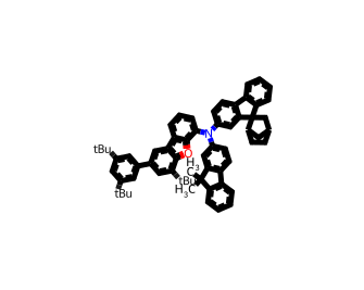 CC(C)(C)c1cc(-c2cc(C(C)(C)C)c3oc4c(N(c5ccc6c(c5)C(C)(C)c5ccccc5-6)c5ccc6c(c5)C5(CC7CCC5C7)c5ccccc5-6)cccc4c3c2)cc(C(C)(C)C)c1